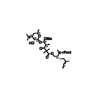 C=C=C(C)CC[C@H](COC(=O)C(C)(C)C(=O)[C@H](C)[C@H](OC)O[C@@H]1O[C@H](C)C[C@H](N(C)C)[C@H]1O)N(C)CCCCC